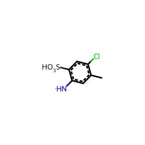 Cc1cc([NH])c(S(=O)(=O)O)cc1Cl